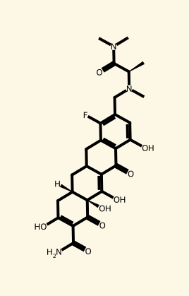 C[C@H](C(=O)N(C)C)N(C)Cc1cc(O)c2c(c1F)CC1C[C@H]3CC(O)=C(C(N)=O)C(=O)[C@@]3(O)C(O)=C1C2=O